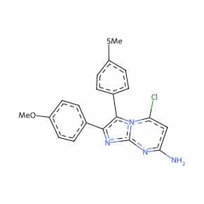 COc1ccc(-c2nc3nc(N)cc(Cl)n3c2-c2ccc(SC)cc2)cc1